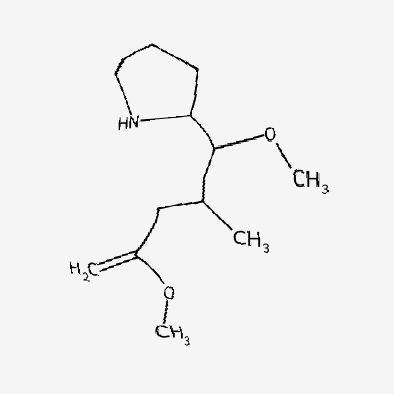 C=C(CC(C)C(OC)C1CCCN1)OC